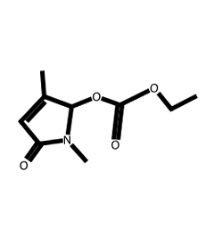 CCOC(=O)OC1C(C)=CC(=O)N1C